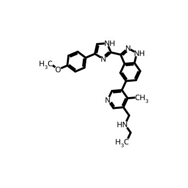 CCNCc1cncc(-c2ccc3[nH]nc(-c4nc(-c5ccc(OC)cc5)c[nH]4)c3c2)c1C